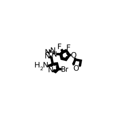 Nc1ncc(Br)cc1-c1nnnn1-c1ccc(OC2CCOC2)c(F)c1F